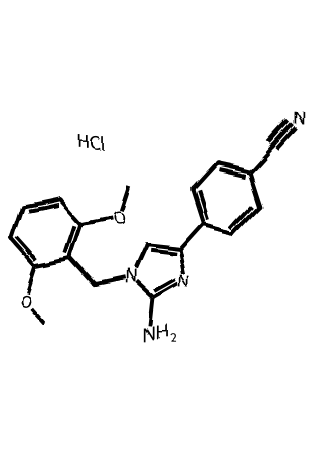 COc1cccc(OC)c1Cn1cc(-c2ccc(C#N)cc2)nc1N.Cl